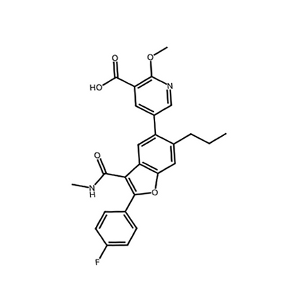 CCCc1cc2oc(-c3ccc(F)cc3)c(C(=O)NC)c2cc1-c1cnc(OC)c(C(=O)O)c1